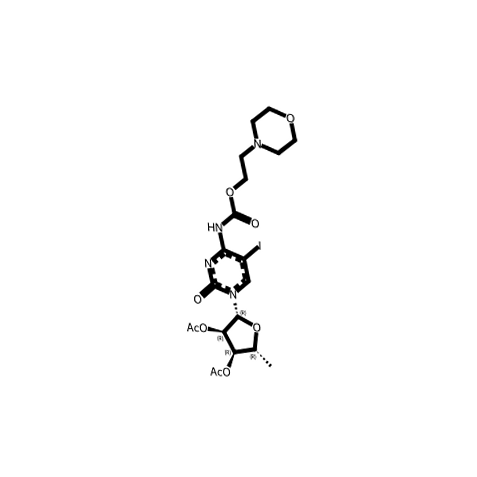 CC(=O)O[C@@H]1[C@H](OC(C)=O)[C@@H](C)O[C@H]1n1cc(I)c(NC(=O)OCCN2CCOCC2)nc1=O